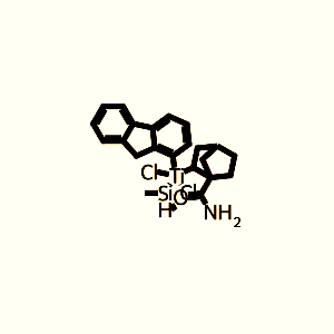 C[SiH](C)[Ti]([Cl])([Cl])([c]1cccc2c1Cc1ccccc1-2)[CH]1CC2CCC1(C(N)=O)C2